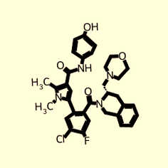 Cc1c(C(=O)Nc2ccc(O)cc2)cc(-c2cc(Cl)c(F)cc2C(=O)N2Cc3ccccc3C[C@H]2CN2CCOCC2)n1C